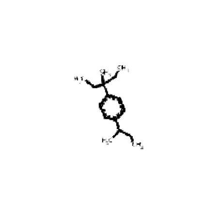 CCC(C)c1ccc(C([SiH3])(CC)CC)cc1